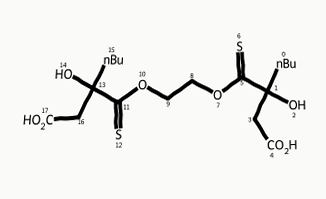 CCCCC(O)(CC(=O)O)C(=S)OCCOC(=S)C(O)(CCCC)CC(=O)O